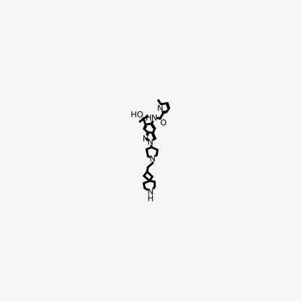 Cc1cccc(C(=O)Nc2cc3cn(C4CCN(CCC5CC6(CCNCC6)C5)CC4)nc3cc2C(C)(C)O)n1